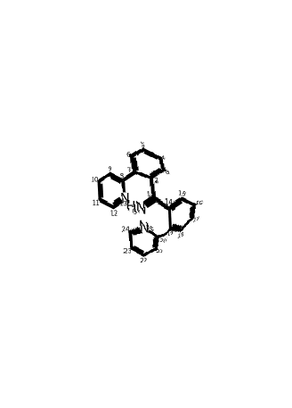 N=C(c1ccccc1-c1ccccn1)c1ccccc1-c1ccccn1